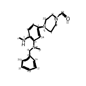 CNc1ccc(N2CCN(C=O)CC2)cc1N(C)Cc1ccccc1